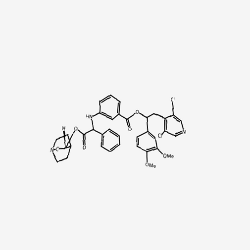 COc1ccc(C(Cc2c(Cl)cncc2Cl)OC(=O)c2cccc(NC(C(=O)O[C@H]3CN4CCC3CC4)c3ccccc3)c2)cc1OC